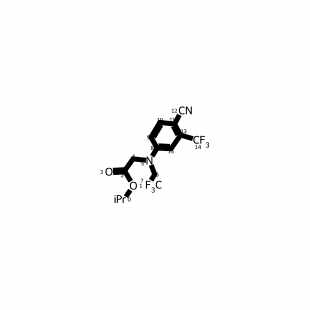 CC(C)OC(=O)CN(CC(F)(F)F)c1ccc(C#N)c(C(F)(F)F)c1